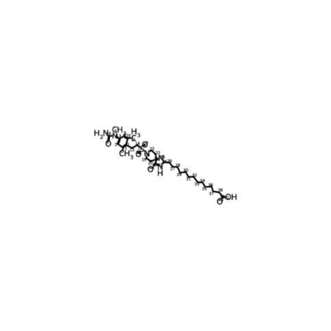 Cc1cc(N(C)C(N)=O)cc(C)c1CCS(=O)(=O)N1CCC2(CC1)N=C(CCCCCCCCCCCCCC(=O)O)NC2=O